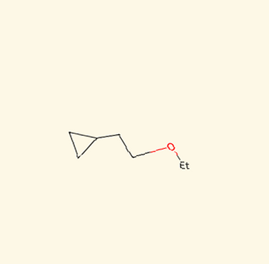 [CH2]COCCC1CC1